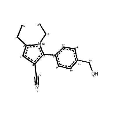 CCc1cc(C#N)c(-c2ccc(CO)cc2)n1CC